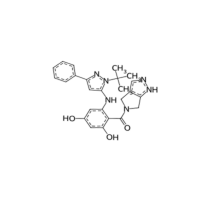 CC(C)(C)n1nc(-c2ccccc2)cc1Nc1cc(O)cc(O)c1C(=O)N1Cc2cn[nH]c2C1